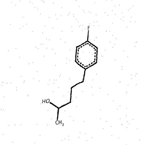 CC(O)CCCc1ccc(F)cc1